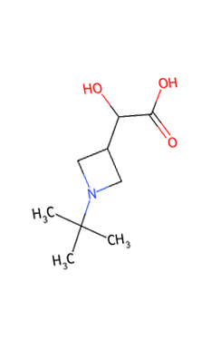 CC(C)(C)N1CC(C(O)C(=O)O)C1